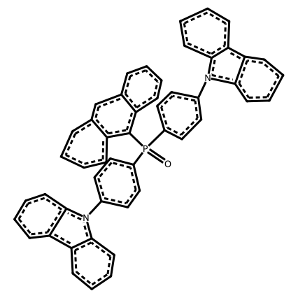 O=P(c1ccc(-n2c3ccccc3c3ccccc32)cc1)(c1ccc(-n2c3ccccc3c3ccccc32)cc1)c1c2ccccc2cc2ccccc12